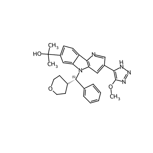 COc1nn[nH]c1-c1cnc2c3ccc(C(C)(C)O)cc3n([C@H](c3ccccc3)C3CCOCC3)c2c1